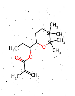 C=C(C)C(=O)OC(CC)C1CC[Si](C)(C)[Si](C)(C)O1